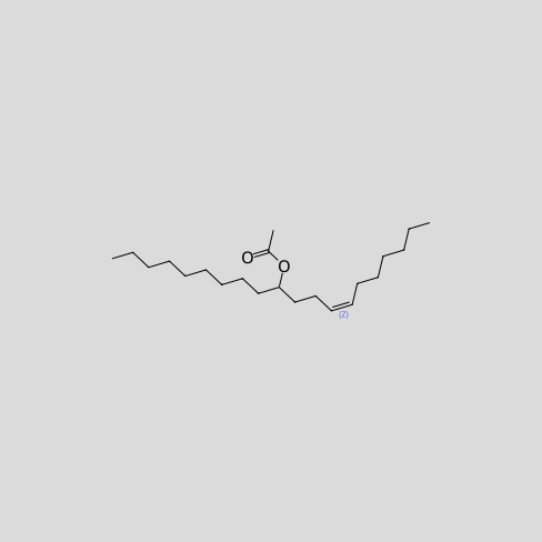 CCCCCC/C=C\CCC(CCCCCCCCC)OC(C)=O